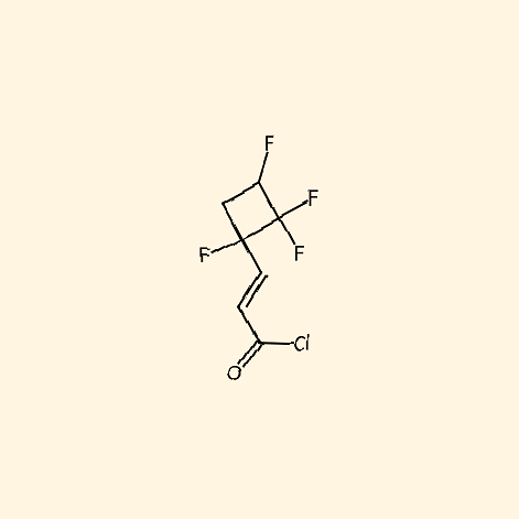 O=C(Cl)C=CC1(F)CC(F)C1(F)F